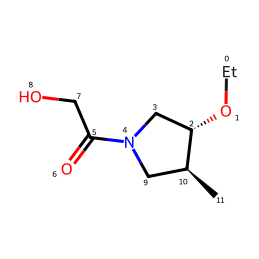 CCO[C@H]1CN(C(=O)CO)C[C@@H]1C